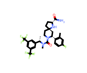 Cc1cc(F)ccc1[C@H]1C[C@]2(CC[C@H](C(N)=O)N2)CCN1C(=O)N(C)[C@@H](C)c1cc(C(F)(F)F)cc(C(F)(F)F)c1